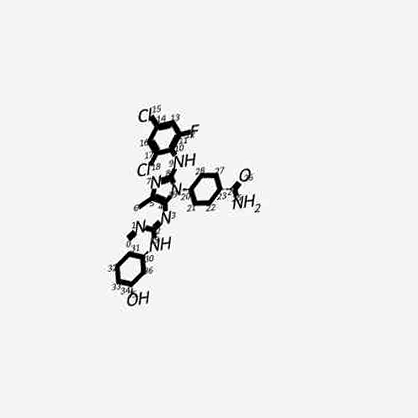 C=N/C(=N\c1c(C)nc(Nc2c(F)cc(Cl)cc2Cl)n1[C@H]1CC[C@@H](C(N)=O)CC1)N[C@H]1CCC[C@@H](O)C1